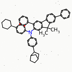 CC1(C)c2cc(-c3ccccc3)ccc2-c2cc(-c3ccccc3)c(N(c3ccc(C4CCCCC4)cc3)c3ccc(C4CC5CCC4C5)cc3)cc21